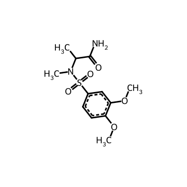 COc1ccc(S(=O)(=O)N(C)C(C)C(N)=O)cc1OC